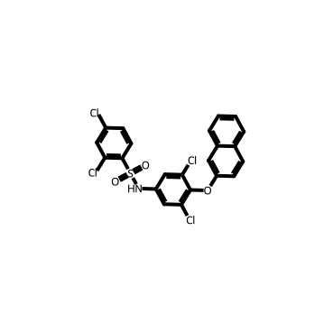 O=S(=O)(Nc1cc(Cl)c(Oc2ccc3ccccc3c2)c(Cl)c1)c1ccc(Cl)cc1Cl